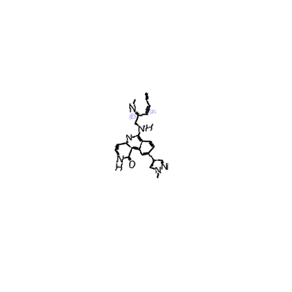 C=C/C=C\C(CNc1nc2cc[nH]c(=O)c2c2cc(-c3cnn(C)c3)ccc12)=N/C